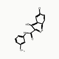 Cc1cccc(NC(=O)c2nnc3ccc(Cl)cc3c2O)c1